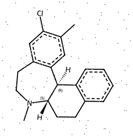 Cc1cc2c(cc1Cl)CCN(C)[C@H]1CCc3ccccc3[C@H]21